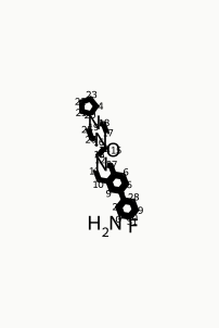 Nc1cc(-c2ccc3c(c2)CCN(CC(=O)N2CCN(C4CCCC4)CC2)C3)ccc1F